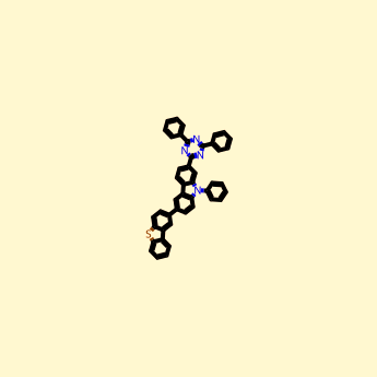 c1ccc(-c2nc(-c3ccccc3)nc(-c3ccc4c5cc(-c6ccc7sc8ccccc8c7c6)ccc5n(-c5ccccc5)c4c3)n2)cc1